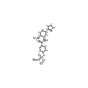 CCOP(=O)(Cc1ccc(C(=O)Nc2cc(-c3cccs3)ccc2N)cc1)OC